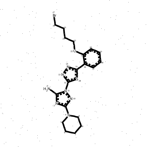 Nc1nc(N2CCCCC2)nn1-c1nnc(-c2ccccc2OCCCCBr)s1